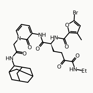 CCNC(=O)C(=O)CC[C@H](NC(=O)c1oc(Br)cc1C)C(=O)Nc1cccn(CC(=O)NC2C3CC4CC(C3)CC2C4)c1=O